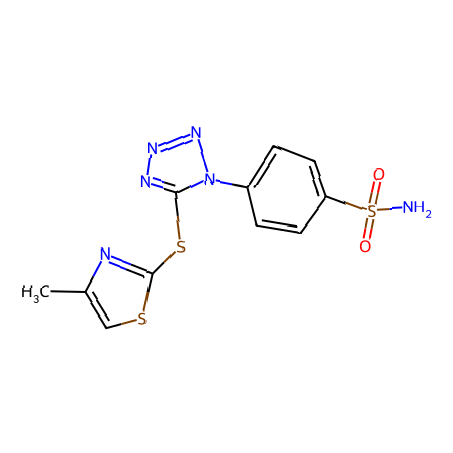 Cc1csc(Sc2nnnn2-c2ccc(S(N)(=O)=O)cc2)n1